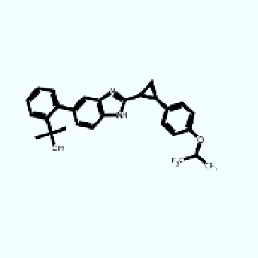 CC(C)(O)c1ccccc1-c1ccc2[nH]c(C3CC3c3ccc(OC(C(F)(F)F)C(F)(F)F)cc3)nc2c1